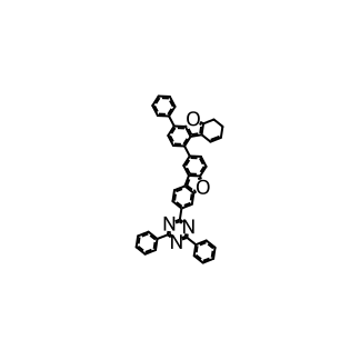 C1=Cc2c(oc3c(-c4ccccc4)ccc(-c4ccc5oc6cc(-c7nc(-c8ccccc8)nc(-c8ccccc8)n7)ccc6c5c4)c23)CC1